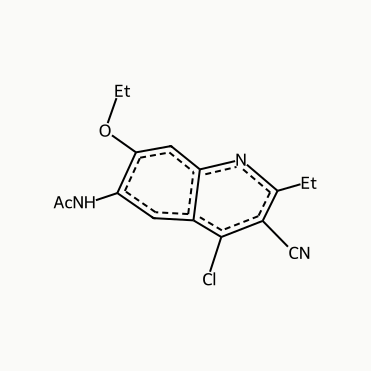 CCOc1cc2nc(CC)c(C#N)c(Cl)c2cc1NC(C)=O